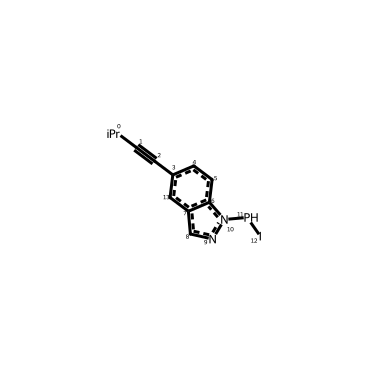 CC(C)C#Cc1ccc2c(cnn2PI)c1